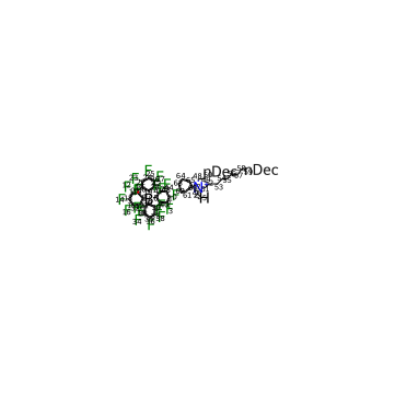 Fc1c(F)c(F)c([B-](c2c(F)c(F)c(F)c(F)c2F)(c2c(F)c(F)c(F)c(F)c2F)c2c(F)c(F)c(F)c(F)c2F)c(F)c1F.[2H]C[N+](CCCCCCCCCCCC)(CCCCCCCCCCCCCCCCCC)c1ccccc1